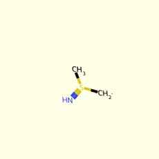 [CH2]S(C)=N